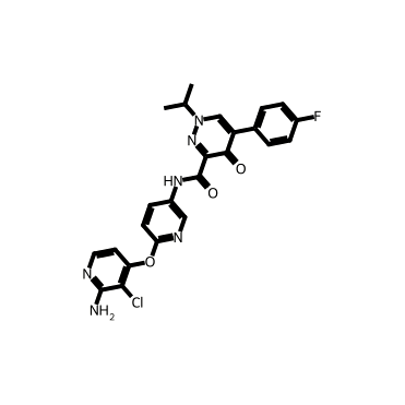 CC(C)n1cc(-c2ccc(F)cc2)c(=O)c(C(=O)Nc2ccc(Oc3ccnc(N)c3Cl)nc2)n1